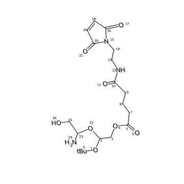 CC(C)(C)OC(COC(=O)CCCC(=O)NCCN1C(=O)C=CC1=O)OC(N)CO